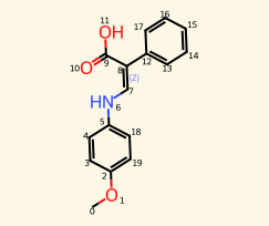 COc1ccc(N/C=C(\C(=O)O)c2ccccc2)cc1